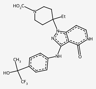 CCC1(n2nc(Nc3ccc(C(C)(O)C(F)(F)F)cc3)c3c(=O)[nH]ccc32)CCN(C(=O)O)CC1